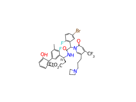 CCOC(=O)C[C@H](NC(=O)C(c1cc(Br)ccc1F)n1cc(CCCN2CCC2)c(C(F)(F)F)cc1=O)c1cc(-c2c(C)cccc2O)cc(C)c1F